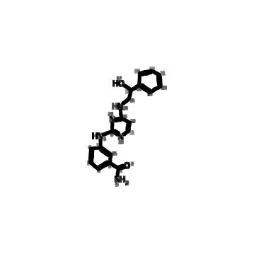 NC(=O)c1cccc(Nc2nccc(NCC(O)c3ccccc3)n2)c1